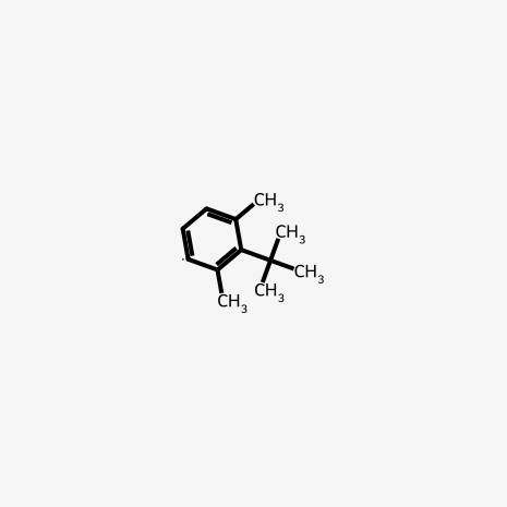 Cc1[c]ccc(C)c1C(C)(C)C